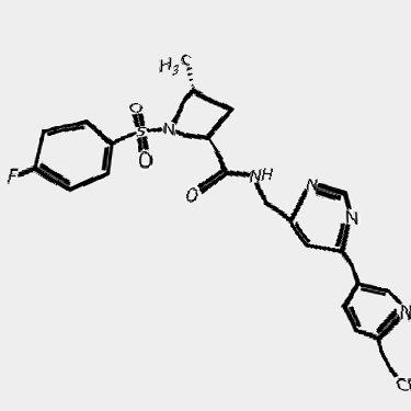 C[C@@H]1C[C@@H](C(=O)NCc2cc(-c3ccc(C(F)(F)F)nc3)ncn2)N1S(=O)(=O)c1ccc(F)cc1